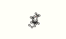 c1ccc(-c2cccc(-c3cccc(-c4nc(N(c5ccccc5)c5ccc(-c6ccc7c(c6)c6ccccc6n7-c6ccccc6)cc5)nc(N(c5ccccc5)c5ccc6c(c5)c5ccccc5n6-c5ccccc5)n4)c3)c2)cc1